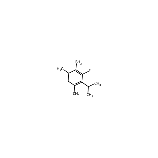 BC1=C(F)C(C(C)C)=C(C)CC1C